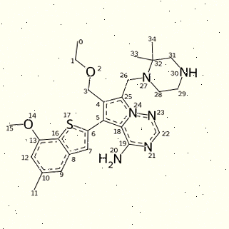 CCOCc1c(-c2cc3cc(C)cc(OC)c3s2)c2c(N)ncnn2c1CN1CCNCC1(C)C